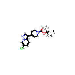 CC(C)(C)OC(=O)N1CC=C(c2cnn3cc(Br)ccc23)CC1